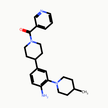 CC1CCN(c2cc(C3CCN(C(=O)c4cccnc4)CC3)ccc2N)CC1